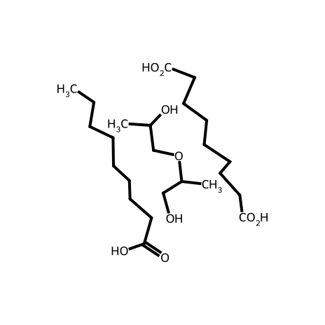 CC(O)COC(C)CO.CCCCCCCCC(=O)O.O=C(O)CCCCCCCC(=O)O